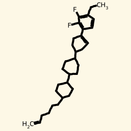 C=CCCCCC1CCC(C2CCC(C3CC=C(c4ccc(CC)c(F)c4F)CC3)CC2)CC1